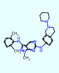 Cc1cccc(C)c1Nc1nn(C)c2nc(Nc3ccc4c(c3)CN(N3CC[CH]CC3)CC4)ncc12